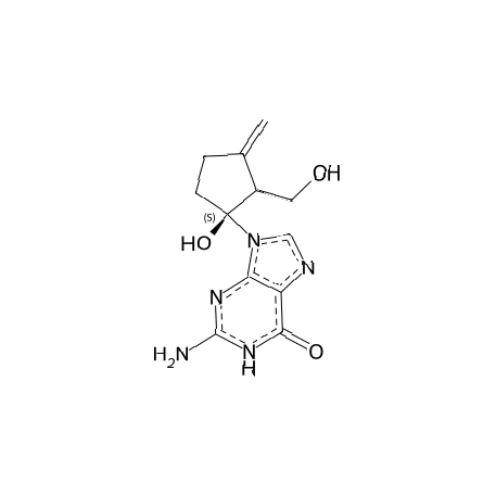 C=C1CC[C@@](O)(n2cnc3c(=O)[nH]c(N)nc32)C1CO